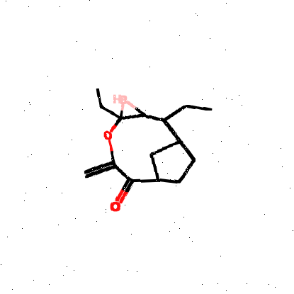 C=C1OC2(CC)BC2C(CC)C2CCC(C2)C1=O